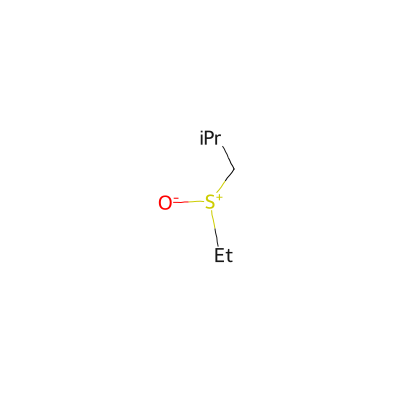 [CH2]C[S+]([O-])CC(C)C